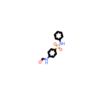 O=CNc1ccc(S(=O)(=O)Nc2ccccc2)cc1